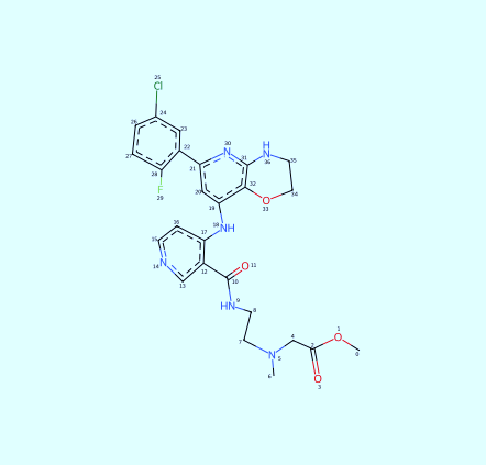 COC(=O)CN(C)CCNC(=O)c1cnccc1Nc1cc(-c2cc(Cl)ccc2F)nc2c1OCCN2